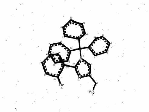 OCc1cn(C(c2ccccc2)(c2ccccc2)c2ccccc2)c(-c2ccccc2Br)n1